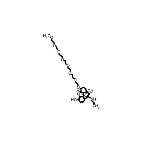 C=CCNC1CC[C@]23c4c5ccc(O)c4O[C@H]2[C@H](OCCOCCOCCOCCOCCOCCOCCOC)CC[C@@]3(O)[C@H]1C5